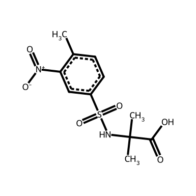 Cc1ccc(S(=O)(=O)NC(C)(C)C(=O)O)cc1[N+](=O)[O-]